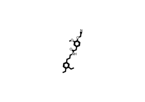 CCc1ccc(CCCNC(=O)Cc2ccc(OCC#N)c(OC)c2)cc1CC